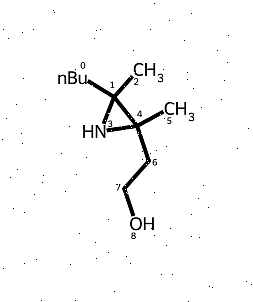 CCCCC1(C)NC1(C)CCO